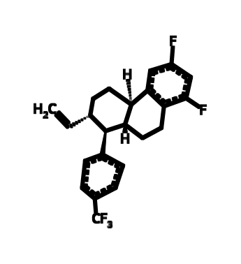 C=C[C@@H]1CC[C@H]2c3cc(F)cc(F)c3CC[C@@H]2[C@H]1c1ccc(C(F)(F)F)cc1